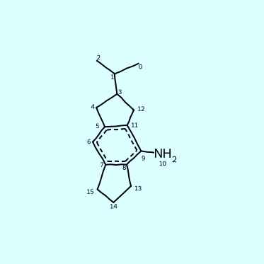 CC(C)C1Cc2cc3c(c(N)c2C1)CCC3